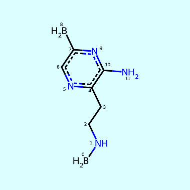 BNCCc1ncc(B)nc1N